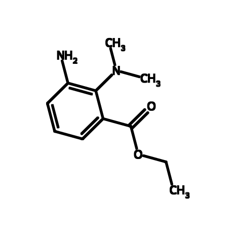 CCOC(=O)c1cccc(N)c1N(C)C